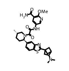 COc1ncc(NC(=O)C(=O)N2C[C@@H](C)CC[C@@H]2c2ccc3sc(C45CC(C4)C(N(C)C)C5)nc3c2)cc1C(N)=O